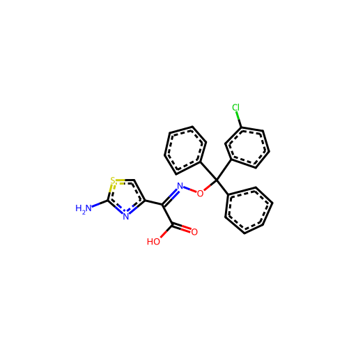 Nc1nc(/C(=N/OC(c2ccccc2)(c2ccccc2)c2cccc(Cl)c2)C(=O)O)cs1